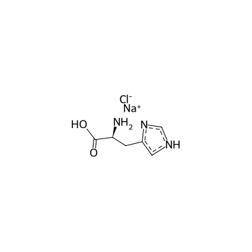 N[C@@H](Cc1c[nH]cn1)C(=O)O.[Cl-].[Na+]